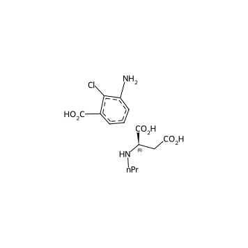 CCCN[C@H](CC(=O)O)C(=O)O.Nc1cccc(C(=O)O)c1Cl